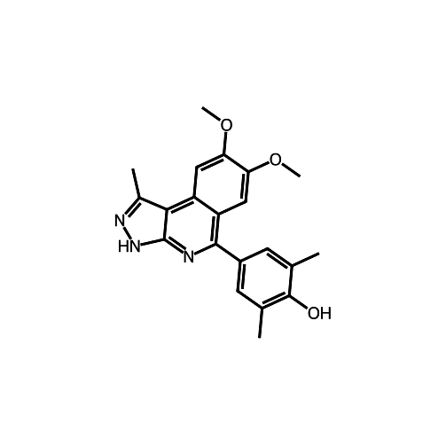 COc1cc2c(-c3cc(C)c(O)c(C)c3)nc3[nH]nc(C)c3c2cc1OC